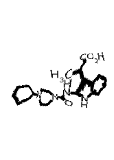 CC(CC(=O)O)c1c(NC(=O)N2CCN(C3CCCCC3)CC2)[nH]c2ccccc12